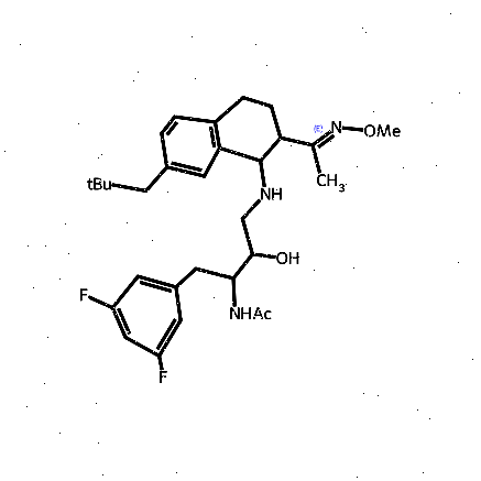 CO/N=C(\C)C1CCc2ccc(CC(C)(C)C)cc2C1NCC(O)C(Cc1cc(F)cc(F)c1)NC(C)=O